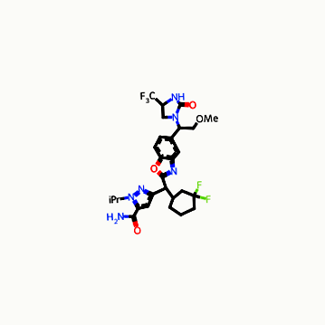 COCC(c1ccc2oc(C(c3cc(C(N)=O)n(C(C)C)n3)C3CCCC(F)(F)C3)nc2c1)N1CC(C(F)(F)F)NC1=O